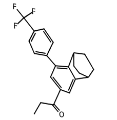 CCC(=O)c1cc(-c2ccc(C(F)(F)F)cc2)c2c(c1)C1CCC2CC1